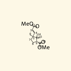 COC(=O)/C=C/C1(C)CCC(C(=O)OC)C1(C)C